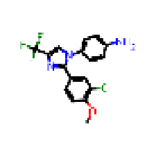 COc1ccc(-c2nc(C(F)(F)F)cn2-c2ccc(N)cc2)cc1Cl